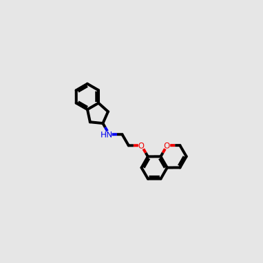 C1=Cc2cccc(OCCNC3Cc4ccccc4C3)c2OC1